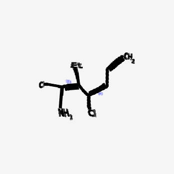 C=C/C=C(Cl)\C(CC)=C(/N)Cl